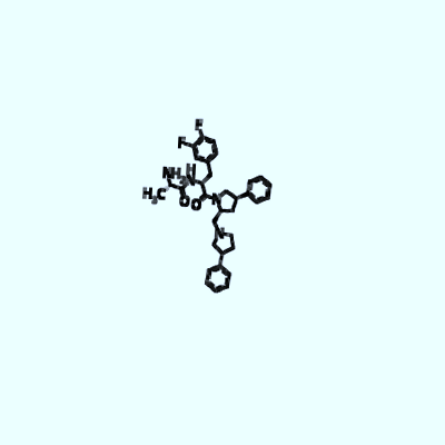 C[C@H](N)C(=O)N[C@@H](Cc1ccc(F)c(F)c1)C(=O)N1C[C@@H](c2ccccc2)C[C@H]1CN1CCC(c2ccccc2)C1